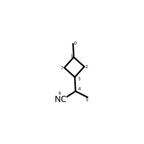 CC1CC(C(C)C#N)C1